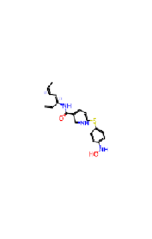 C=C/C(=C\C=C/C)NC(=O)C1=CC=C(Sc2ccc(NO)cc2)NC1